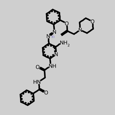 C=C(CN1CCOCC1)Oc1ccccc1/N=N/c1ccc(NC(=O)CNC(=O)c2ccccc2)nc1N